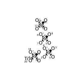 [O]=[Re](=[O])(=[O])[O-].[O]=[Re](=[O])(=[O])[O-].[O]=[Re](=[O])(=[O])[O-].[O]=[Re](=[O])(=[O])[O-].[Ti+4]